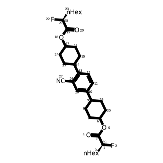 CCCCCC[C@H](F)C(=O)OC1CCC(c2ccc(C3CCC(OC(=O)[C@@H](F)CCCCCC)CC3)c(C#N)c2)CC1